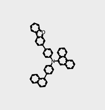 c1ccc2c(-c3ccc(N(c4ccc(-c5ccc6c(c5)oc5ccccc56)cc4)c4cc5ccccc5c5ccccc45)cc3)cccc2c1